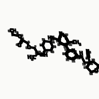 CCOC(=O)COC[C@@H](C)N[C@H]1CC[C@H](Nc2cc(-c3cccc(NCC4(C#N)CCOCC4)n3)c(C)cn2)CC1